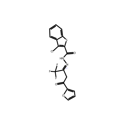 O=C(C/C(=N/NC(=O)c1sc2ccccc2c1Cl)C(F)(F)F)c1ccco1